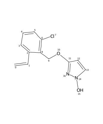 C=Cc1cccc(Cl)c1COc1ccn(O)n1